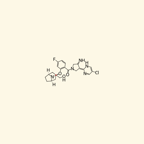 N=C1CN(C(=O)c2ccc(F)cc2O[C@H]2C[C@H]3CC[C@@H](C2)N3CCO)C/C1=C1\N=CC(Cl)=CN1